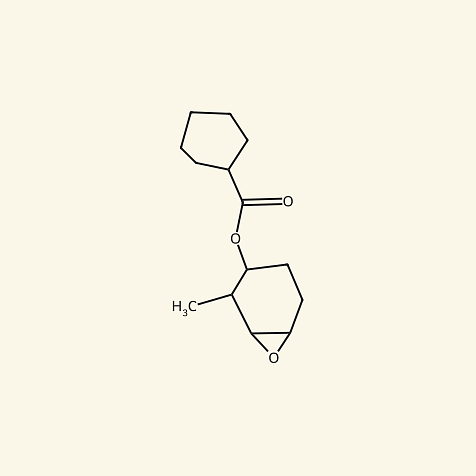 CC1C(OC(=O)C2CCCCC2)CCC2OC21